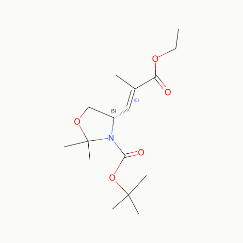 CCOC(=O)/C(C)=C/[C@H]1COC(C)(C)N1C(=O)OC(C)(C)C